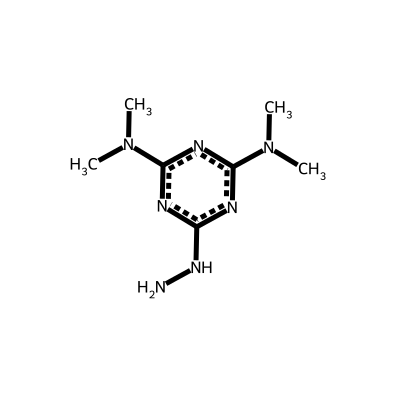 CN(C)c1nc(NN)nc(N(C)C)n1